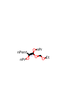 CCCCC/C(OCCC)=C(\OCCC)OCOCC